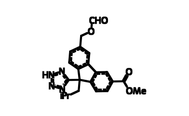 COC(=O)c1ccc2c(c1)-c1cc(COC=O)ccc1C2(CC(C)C)c1nn[nH]n1